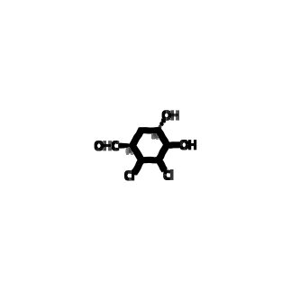 O=C[C@H]1C[C@H](O)C(O)C(Cl)C1Cl